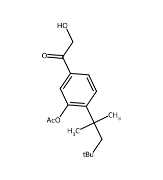 CC(=O)Oc1cc(C(=O)CO)ccc1C(C)(C)CC(C)(C)C